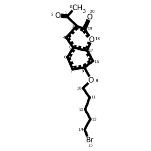 CC(=O)c1cc2ccc(OCCCCCBr)cc2oc1=O